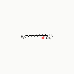 CCCCCCCCCCCCC(O)C=C(C)C